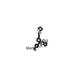 COC(=O)c1ccc(-c2nn(C(=O)c3c(C)cccc3Cl)c3cc(C#CCOC4CCCCO4)ccc23)cc1